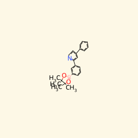 CC1(C)OB(c2cccc(-c3cc(-c4ccccc4)ccn3)c2)OC1(C)C